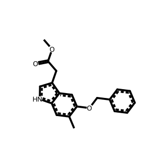 COC(=O)Cc1c[nH]c2cc(C)c(OCc3ccccc3)cc12